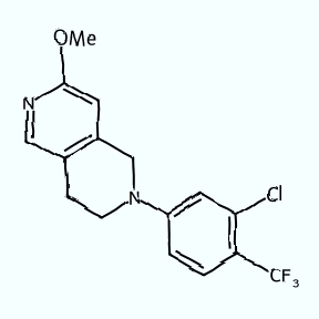 COc1cc2c(cn1)CCN(c1ccc(C(F)(F)F)c(Cl)c1)C2